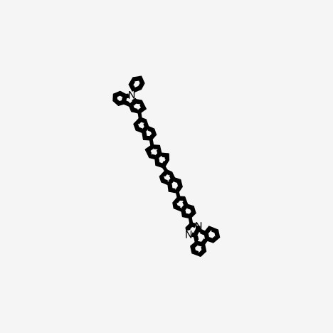 c1ccc(-n2c3ccccc3c3cc(-c4ccc5cc(-c6ccc7cc(-c8ccc9cc(-c%10ccc%11cc(-c%12cnc%13c%14ccccc%14c%14ccccc%14c%13n%12)ccc%11c%10)ccc9c8)ccc7c6)ccc5c4)ccc32)cc1